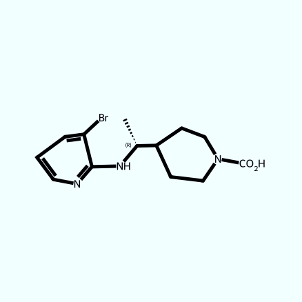 C[C@@H](Nc1ncccc1Br)C1CCN(C(=O)O)CC1